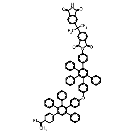 C=C(CC)C1C=CC(c2cc(-c3ccccc3)c(-c3ccc(Oc4ccc(-c5c(-c6ccccc6)cc(-c6ccc(N7C(=O)c8ccc(C(c9ccc%10c(c9)C(=O)NC%10=O)(C(F)(F)F)C(F)(F)F)cc8C7=O)cc6)c(-c6ccccc6)c5-c5ccccc5)cc4)cc3)c(-c3ccccc3)c2-c2ccccc2)=CC1